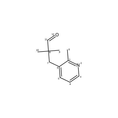 Cc1ncccc1CC(C)(C)C=O